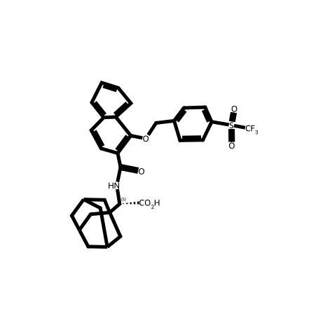 O=C(N[C@H](C(=O)O)C12CC3CC(CC(C3)C1)C2)c1ccc2ccccc2c1OCc1ccc(S(=O)(=O)C(F)(F)F)cc1